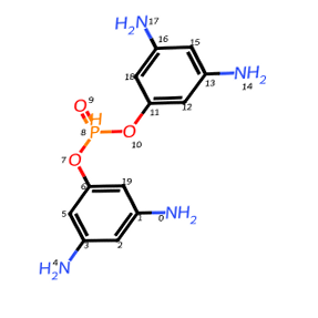 Nc1cc(N)cc(O[PH](=O)Oc2cc(N)cc(N)c2)c1